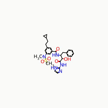 CN(c1cc(CCC2CC2)cc(C(=O)NC(Cc2ccccc2)C(O)C(=O)Nc2ncc[nH]2)c1)S(C)(=O)=O